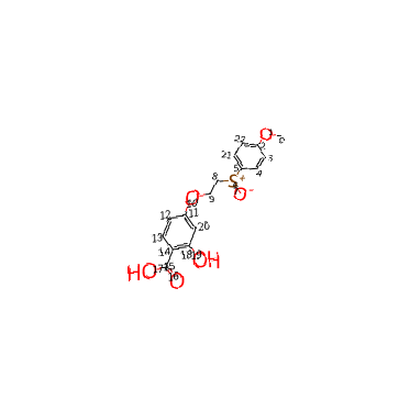 COc1ccc([S+]([O-])CCOc2ccc(C(=O)O)c(O)c2)cc1